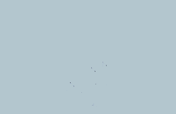 CCC(C)[C@H](N)C(=O)NNc1ccc(O)cc1